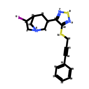 IC1CN2CC(c3nsnc3SCC#Cc3ccccc3)CC1C2